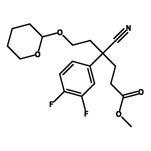 COC(=O)CCC(C#N)(CCOC1CCCCO1)c1ccc(F)c(F)c1